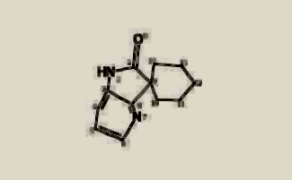 O=C1Nc2cccnc2C12CCCCC2